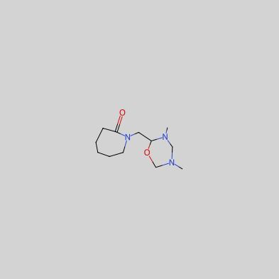 CN1COC(CN2CCCCCC2=O)N(C)C1